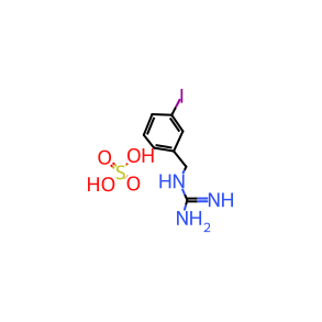 N=C(N)NCc1cccc(I)c1.O=S(=O)(O)O